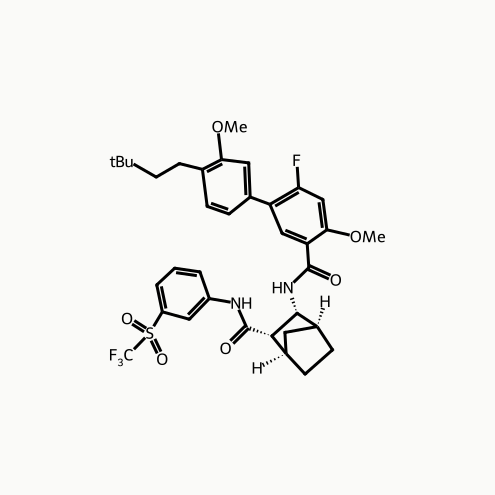 COc1cc(-c2cc(C(=O)N[C@@H]3[C@H]4CC[C@H](C4)[C@@H]3C(=O)Nc3cccc(S(=O)(=O)C(F)(F)F)c3)c(OC)cc2F)ccc1CCC(C)(C)C